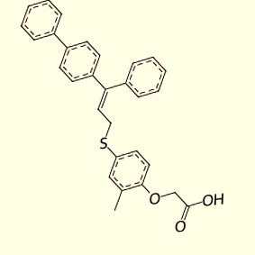 Cc1cc(SC/C=C(\c2ccccc2)c2ccc(-c3ccccc3)cc2)ccc1OCC(=O)O